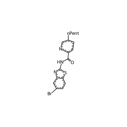 CCCCCc1ccc(C(=O)Nc2nc3cc(Br)ccc3s2)nc1